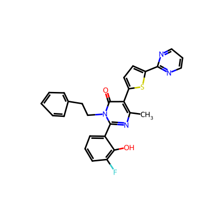 Cc1nc(-c2cccc(F)c2O)n(CCc2ccccc2)c(=O)c1-c1ccc(-c2ncccn2)s1